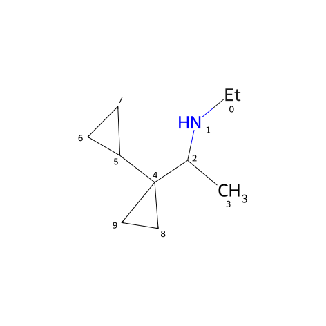 CCNC(C)C1(C2CC2)CC1